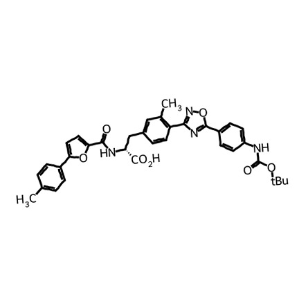 Cc1ccc(-c2ccc(C(=O)N[C@H](Cc3ccc(-c4noc(-c5ccc(NC(=O)OC(C)(C)C)cc5)n4)c(C)c3)C(=O)O)o2)cc1